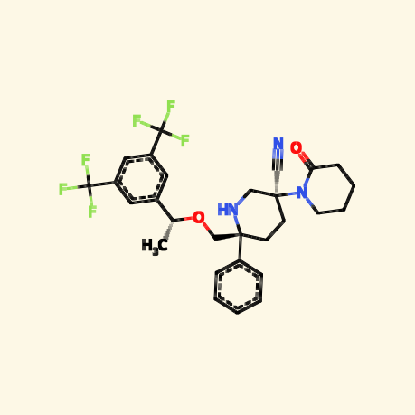 C[C@@H](OC[C@]1(c2ccccc2)CC[C@](C#N)(N2CCCCC2=O)CN1)c1cc(C(F)(F)F)cc(C(F)(F)F)c1